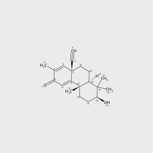 C#C[C@]12C=C(C)C(=O)C=C1[C@@]1(C)CC[C@H](O)C(C)(C)[C@@H]1CC2